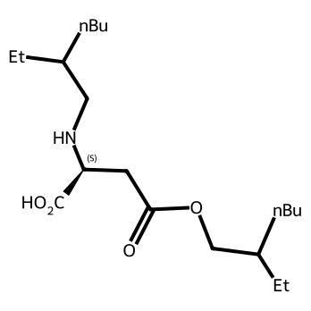 CCCCC(CC)CN[C@@H](CC(=O)OCC(CC)CCCC)C(=O)O